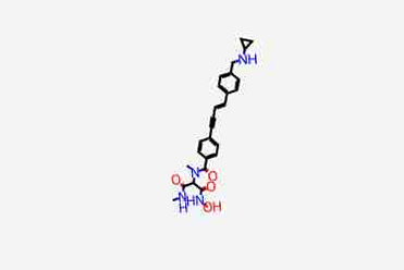 CNC(=O)C(C(=O)NO)N(C)C(=O)c1ccc(C#CC=Cc2ccc(CNC3CC3)cc2)cc1